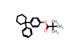 CC(C)(C)C(=O)Oc1ccc(C2(c3ccccc3)CCCCC2)cc1